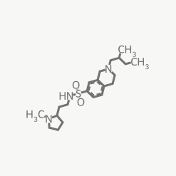 CCC(C)CN1CCc2ccc(S(=O)(=O)NCCC3CCCN3C)cc2C1